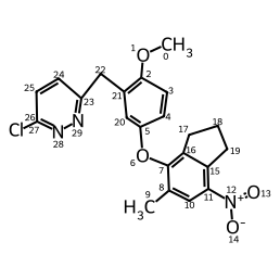 COc1ccc(Oc2c(C)cc([N+](=O)[O-])c3c2CCC3)cc1Cc1ccc(Cl)nn1